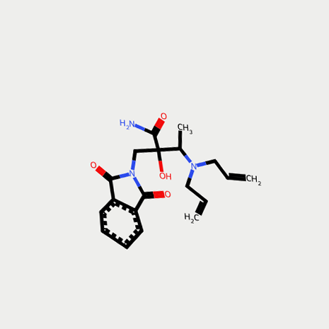 C=CCN(CC=C)C(C)C(O)(CN1C(=O)c2ccccc2C1=O)C(N)=O